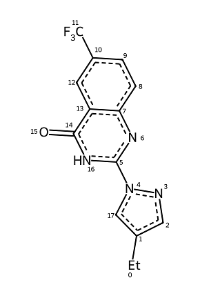 CCc1cnn(-c2nc3ccc(C(F)(F)F)cc3c(=O)[nH]2)c1